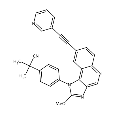 COc1nc2cnc3ccc(C#Cc4cccnc4)cc3c2n1-c1ccc(C(C)(C)C#N)cc1